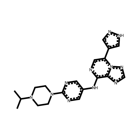 CC(C)N1CCN(c2ncc(Nc3ncc(-c4cn[nH]c4)n4ncnc34)cn2)CC1